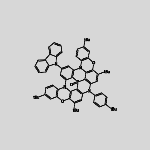 CC(C)(C)c1ccc(N2c3cc(C(C)(C)C)c4c5c3P3(=O)c6c(cc(-n7c8ccccc8c8ccccc87)cc6N6c7ccc(C(C)(C)C)cc7Oc7c(C(C)(C)C)cc2c3c76)N5c2ccc(C(C)(C)C)cc2O4)cc1